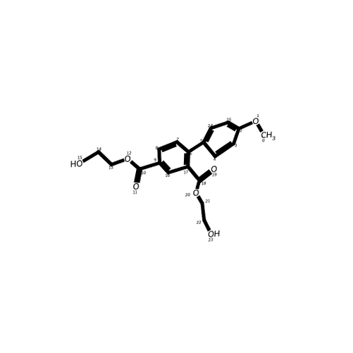 COc1ccc(-c2ccc(C(=O)OCCO)cc2C(=O)OCCO)cc1